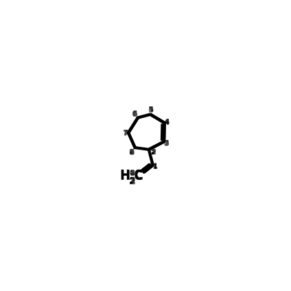 C=CC1C=CCCCC1